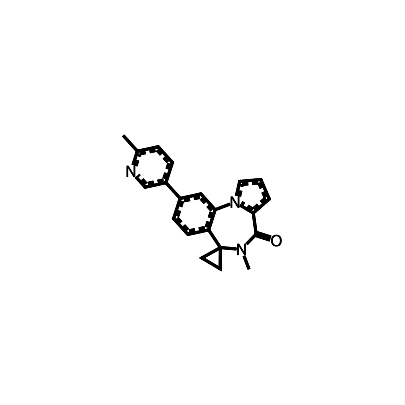 Cc1ccc(-c2ccc3c(c2)-n2cccc2C(=O)N(C)C32CC2)cn1